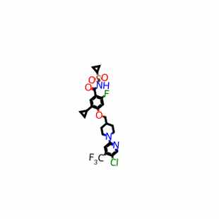 O=C(NS(=O)(=O)C1CC1)c1cc(C2CC2)c(OCC2CCN(c3cc(C(F)(F)F)c(Cl)cn3)CC2)cc1F